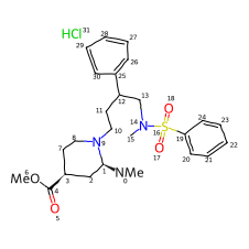 CN[C@H]1C[C@@H](C(=O)OC)CCN1CCC(CN(C)S(=O)(=O)c1ccccc1)c1ccccc1.Cl